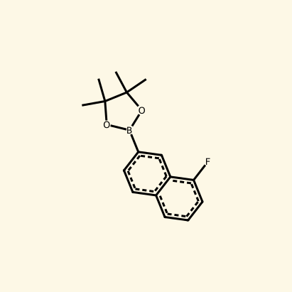 CC1(C)OB(c2ccc3cccc(F)c3c2)OC1(C)C